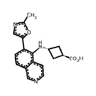 Cc1ncc(-c2ccc3cnccc3c2N[C@H]2C[C@H](C(=O)O)C2)o1